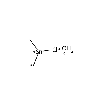 O.[CH3][Sn]([CH3])[Cl]